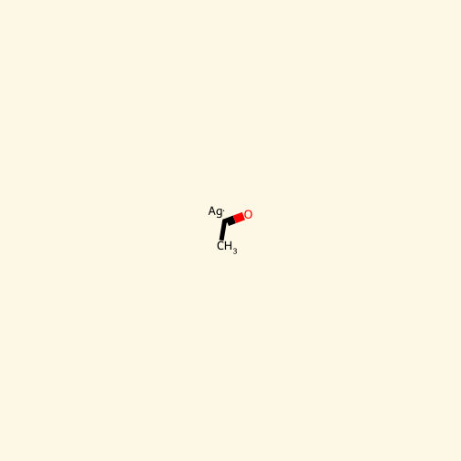 CC=O.[Ag]